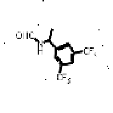 CC(NC=O)c1cc(C(F)(F)F)cc(C(F)(F)F)c1